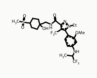 CCn1nc(C(=O)NCC2(O)CCC(S(C)(=O)=O)CC2)c(C(F)(F)F)c1-c1ccc(NC(C)C(F)(F)F)cc1OC